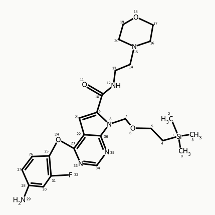 C[Si](C)(C)CCOCn1c(C(=O)NCCN2CCOCC2)cc2c(Oc3ccc(N)cc3F)ncnc21